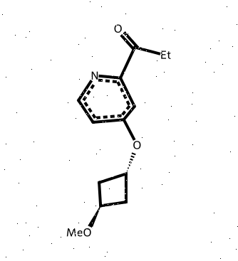 CCC(=O)c1cc(O[C@H]2C[C@H](OC)C2)ccn1